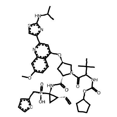 C=C[C@@H]1C[C@]1(NC(=O)[C@@H]1C[C@@H](Oc2cc(-c3csc(NC(C)C)n3)nc3cc(OC)ccc23)CN1C(=O)C(NC(=O)OC1CCCC1)C(C)(C)C)P(=O)(O)Cc1ccco1